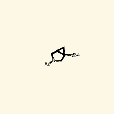 CC(=O)N1CC2CC2(C(C)(C)C)C1